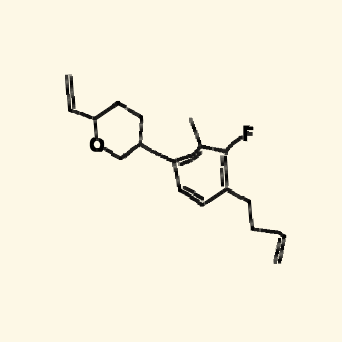 C=CCCc1ccc(C2CCC(C=C)OC2)c(C)c1F